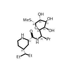 CCC(CC)[C@@H]1CCN[C@H](C(=O)N[C@H](C(C)C)[C@H]2O[C@H](SC)[C@H](O)[C@@H](O)[C@H]2O)C1